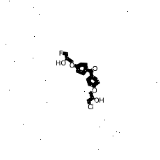 O=C(c1ccc(OC[C@@H](O)CF)cc1)c1ccc(OC[C@@H](O)CCl)cc1